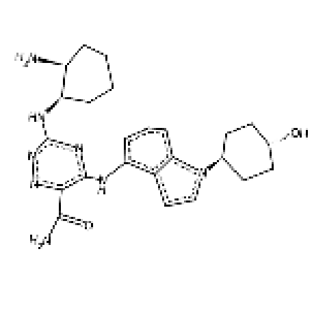 NC(=O)c1nnc(N[C@@H]2CCCC[C@@H]2N)nc1Nc1cccc2c1ccn2[C@H]1CC[C@H](O)CC1